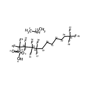 CNC.O=S(=O)(O)C(F)(F)C(F)(F)C(F)(F)C(F)(F)CCCCCCC(F)(F)F